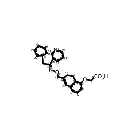 O=C(O)COc1cccc2c1CCC(CO/N=C(/Cc1ccccc1)c1cccnc1)=C2